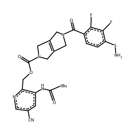 CC(C)(C)C(=O)Nc1cc(C#N)cnc1COC(=O)N1CC2=C(C1)CN(C(=O)c1ccc(SN)c(F)c1F)C2